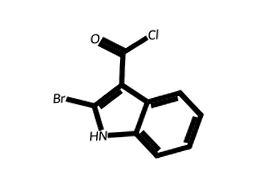 O=C(Cl)c1c(Br)[nH]c2ccccc12